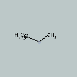 CCCCCCCC/C=C\CCCCCCCCOC(=O)CC